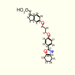 O=C(O)C[C@@H]1CCc2cc(OCCCOc3ccc(-c4nc5c(o4)CCCC5)cc3)ccc21